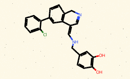 Oc1ccc(CNC=C2C=NCc3ccc(-c4ccccc4Cl)cc32)cc1O